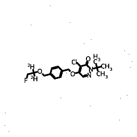 [2H]C([2H])(CF)OCc1ccc(COc2cnn(C(C)(C)C)c(=O)c2Cl)cc1